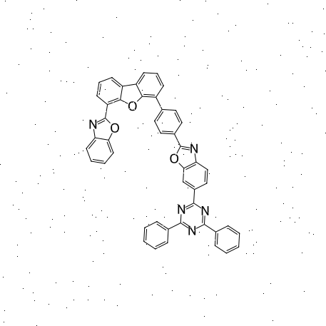 c1ccc(-c2nc(-c3ccccc3)nc(-c3ccc4nc(-c5ccc(-c6cccc7c6oc6c(-c8nc9ccccc9o8)cccc67)cc5)oc4c3)n2)cc1